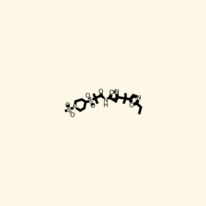 CCc1ncc(C(C)(C)c2cc(NC(=O)C(C)(C)S(=O)(=O)C3CCN(S(C)(=O)=O)CC3)on2)o1